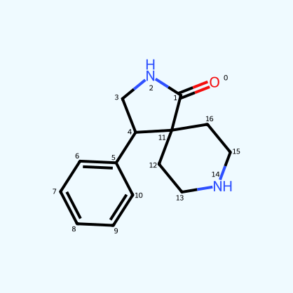 O=C1NCC(c2ccccc2)C12CCNCC2